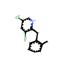 Cc1ccccc1Cc1ncc(Cl)[c]c1Cl